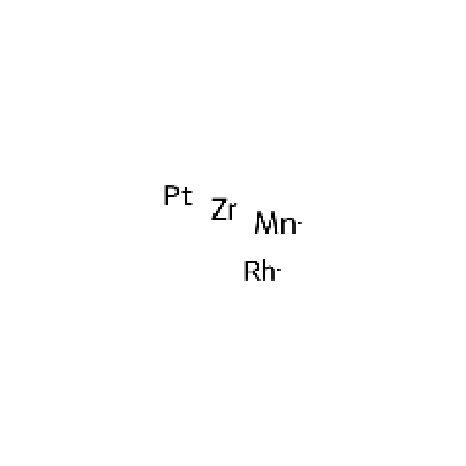 [Mn].[Pt].[Rh].[Zr]